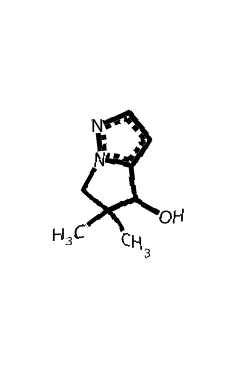 CC1(C)Cn2nccc2C1O